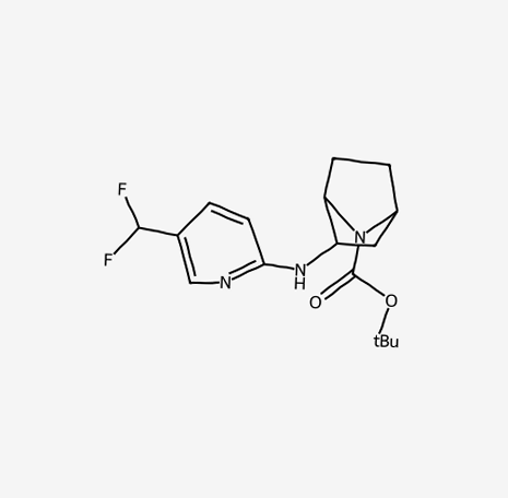 CC(C)(C)OC(=O)N1C2CCC1C(Nc1ccc(C(F)F)cn1)C2